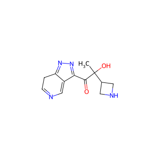 CC(O)(C(=O)C1=NN=C2CC=NC=C21)C1CNC1